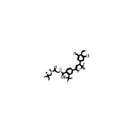 C=Cc1c(Cl)cc(C(C=C(F)c2ccc(C(=O)NCC(=O)N(C)CC(F)(F)F)c(C(F)(F)F)c2)C(F)(F)F)cc1Cl